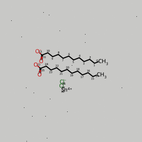 CCCCCCCCCCCC(=O)[O-].CCCCCCCCCCCC(=O)[O-].[Cl-].[Cl-].[Sn+4]